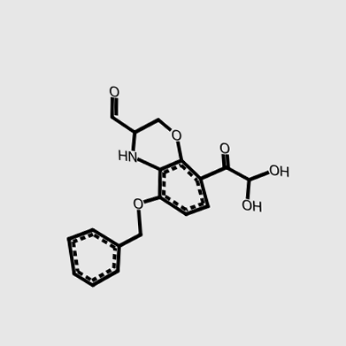 O=CC1COc2c(C(=O)C(O)O)ccc(OCc3ccccc3)c2N1